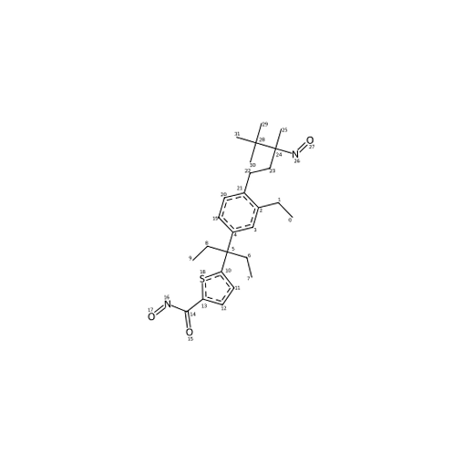 CCc1cc(C(CC)(CC)c2ccc(C(=O)N=O)s2)ccc1CCC(C)(N=O)C(C)(C)C